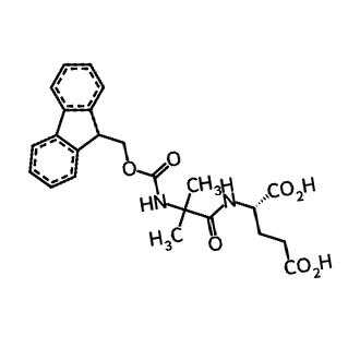 CC(C)(NC(=O)OCC1c2ccccc2-c2ccccc21)C(=O)N[C@@H](CCC(=O)O)C(=O)O